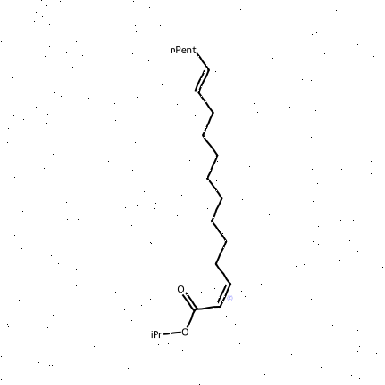 CCCCCC=CCCCCCCCC/C=C\C(=O)OC(C)C